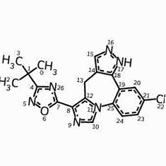 CC(C)(C)c1noc(-c2ncn3c2Cc2cn[nH]c2-c2cc(Cl)ccc2-3)n1